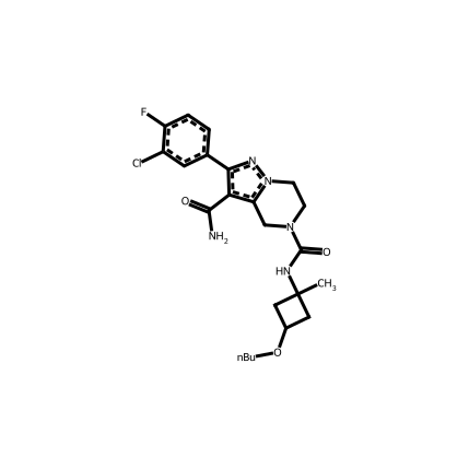 CCCCOC1CC(C)(NC(=O)N2CCn3nc(-c4ccc(F)c(Cl)c4)c(C(N)=O)c3C2)C1